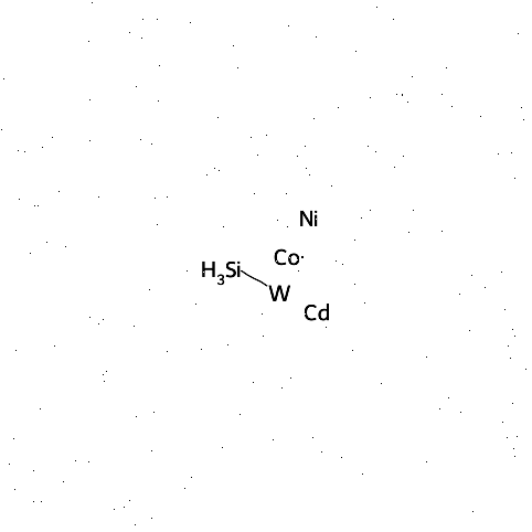 [Cd].[Co].[Ni].[SiH3][W]